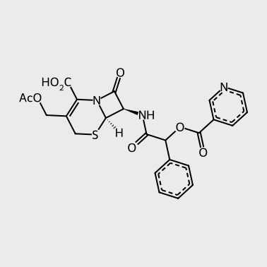 CC(=O)OCC1=C(C(=O)O)N2C(=O)[C@@H](NC(=O)C(OC(=O)c3cccnc3)c3ccccc3)[C@H]2SC1